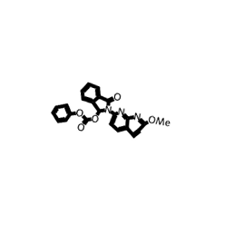 COc1ccc2ccc(N3C(=O)c4ccccc4C3OC(=O)Oc3ccccc3)nc2n1